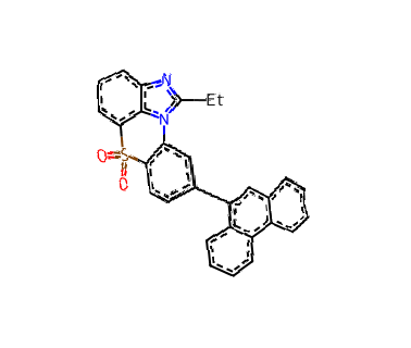 CCc1nc2cccc3c2n1-c1cc(-c2cc4ccccc4c4ccccc24)ccc1S3(=O)=O